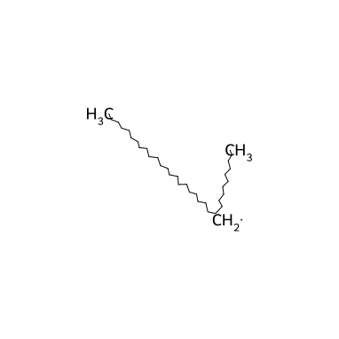 [CH2]C(CCCCCCCCCC)CCCCCCCCCCCCCCCCCCCCCC